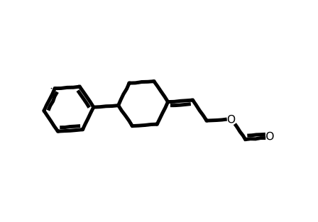 O=COCC=C1CCC(c2c[c]ccc2)CC1